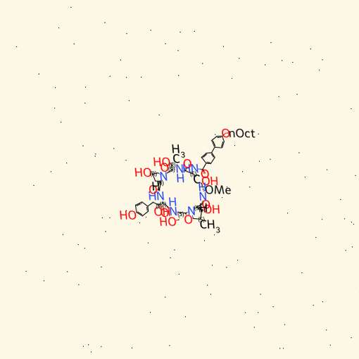 CCCCCCCCOc1ccc(-c2ccc(C(=O)N[C@H]3CC(O)C(OC)NC(=O)[C@@H]4[C@@H](O)[C@@H](C)CN4C(=O)[C@H](CO)NC(=O)[C@H]([C@H](O)Cc4ccc(O)cc4)NC(=O)[C@@H]4C[C@@H](O)CN4C(=O)[C@H]([C@@H](C)O)NC3=O)cc2)cc1